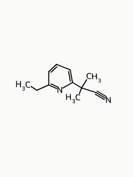 CCc1cccc(C(C)(C)C#N)n1